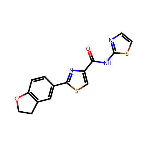 O=C(Nc1nccs1)c1csc(-c2ccc3c(c2)CCO3)n1